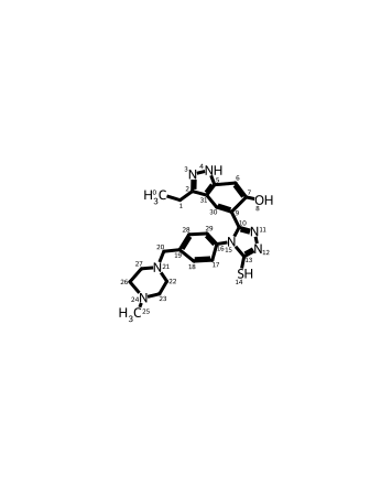 CCc1n[nH]c2cc(O)c(-c3nnc(S)n3-c3ccc(CN4CCN(C)CC4)cc3)cc12